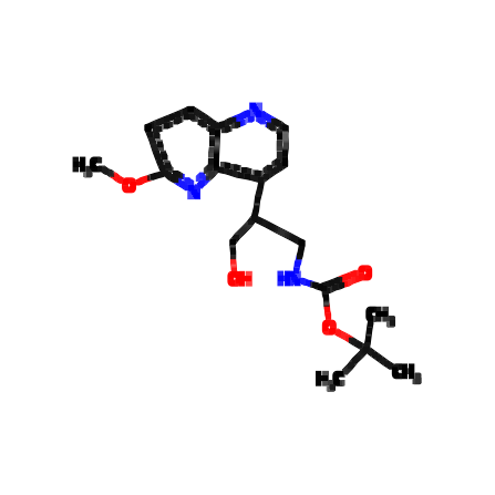 COc1ccc2nccc(C(CO)CNC(=O)OC(C)(C)C)c2n1